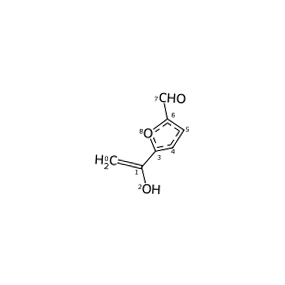 C=C(O)c1ccc(C=O)o1